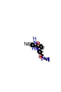 CN(C)CCN(C)C(=O)Cc1ccc(NC(=C2C(=O)Nc3cc(C#N)ccc32)c2ccccc2)cc1